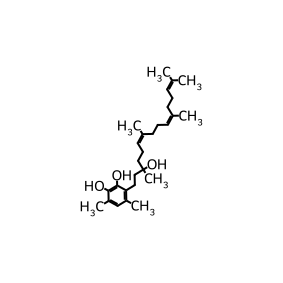 CC(C)=CCCC(C)=CCCC(C)=CCCC(C)(O)CCc1c(C)cc(C)c(O)c1O